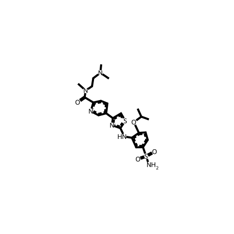 CC(C)Oc1ccc(S(N)(=O)=O)cc1Nc1nc(-c2ccc(C(=O)N(C)CCN(C)C)nc2)cs1